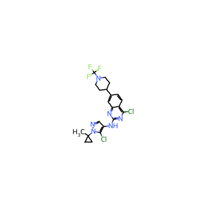 CC1(n2ncc(Nc3nc(Cl)c4ccc(C5CCN(C(F)(F)F)CC5)cc4n3)c2Cl)CC1